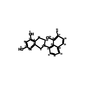 Oc1nc(O)c2c(n1)CN(c1cccc3ccc(F)c(Cl)c13)CC2